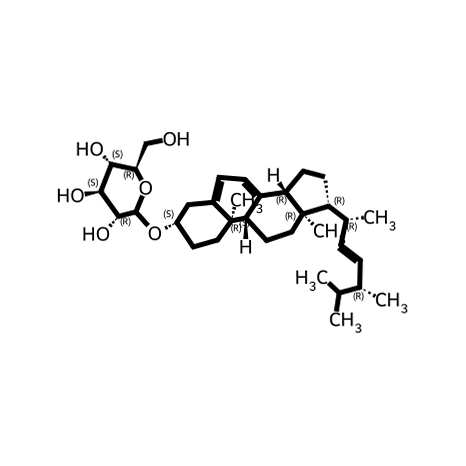 CC(C)[C@@H](C)C=C[C@@H](C)[C@H]1CC[C@H]2C3=CC=C4C[C@@H](OC5O[C@H](CO)[C@@H](O)[C@H](O)[C@H]5O)CC[C@]4(C)[C@H]3CC[C@]12C